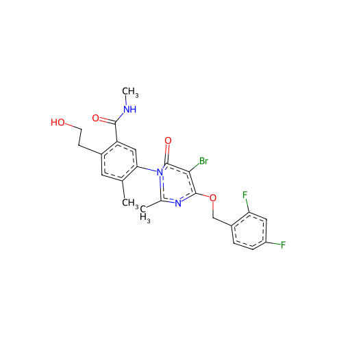 CNC(=O)c1cc(-n2c(C)nc(OCc3ccc(F)cc3F)c(Br)c2=O)c(C)cc1CCO